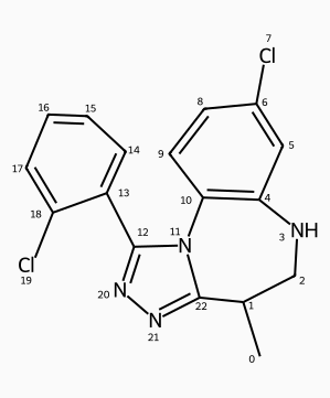 CC1CNc2cc(Cl)ccc2-n2c(-c3ccccc3Cl)nnc21